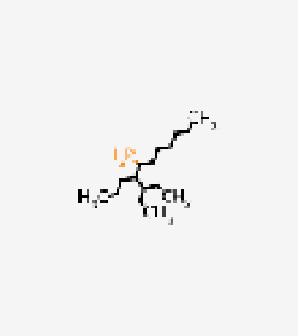 CCCCCCC(P)C(CCC)C(CC)CC